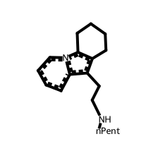 CCCCCNCCc1c2c(n3ccccc13)CCCC2